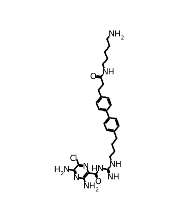 N=C(NCCCCc1ccc(-c2ccc(CCC(=O)NCCCCCN)cc2)cc1)NC(=O)c1nc(Cl)c(N)nc1N